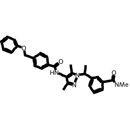 CNC(=O)c1cccc(C(C)n2nc(C)c(NC(=O)c3ccc(COc4ccccc4)cc3)c2C)c1